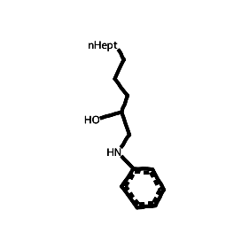 CCCCCCCCCCC(O)CNc1ccccc1